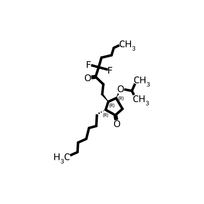 CCCCCCC[C@H]1C(=O)C[C@@H](OC(C)C)[C@@H]1CCC(=O)C(F)(F)CCCC